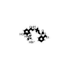 Br.CCC1OC(=O)N(CCC(C)(C)NCC(O)c2ccc(O)c(NS(C)(=O)=O)c2)c2ccccc21